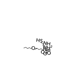 CCCCCOC=CCCC(=O)N(NCC(N)CS)[C@H]1C(=O)OC[C@H]1C